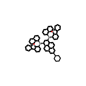 c1ccc2c(N(c3cc(N(c4cccc5ccccc45)c4cccc5c4oc4ccccc45)c4ccc5cc(C6CCCCC6)cc6ccc3c4c65)c3cccc4c3oc3ccccc34)cccc2c1